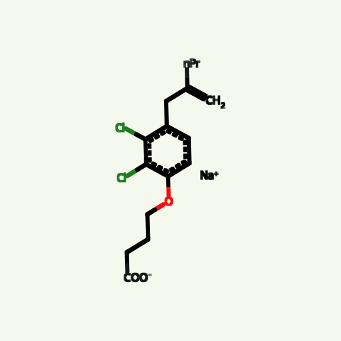 C=C(CCC)Cc1ccc(OCCCC(=O)[O-])c(Cl)c1Cl.[Na+]